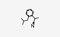 CC(C)Cc1ccccc1C(C)C#N